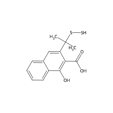 CC(C)(SS)c1cc2ccccc2c(O)c1C(=O)O